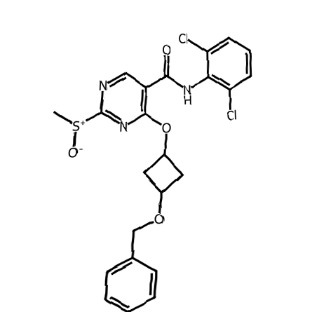 C[S+]([O-])c1ncc(C(=O)Nc2c(Cl)cccc2Cl)c(OC2CC(OCc3ccccc3)C2)n1